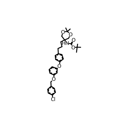 CC(C)(C)OC(=O)NC1(CCCc2ccc(Oc3cccc(OCc4ccc(Cl)cc4)c3)cc2)COC(C)(C)OC1